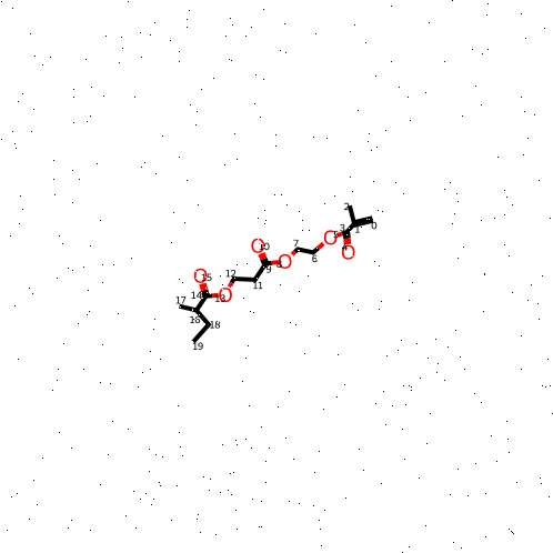 C=C(C)C(=O)OCCOC(=O)CCOC(=O)C(C)CC